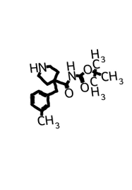 Cc1cccc(CC2(C(=O)NC(=O)OC(C)(C)C)CCNCC2)c1